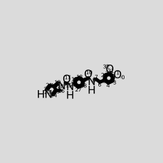 COc1ccc(CCNC(=O)c2ccc(NC(=O)N3C=C4C=CNC=C4C3)cc2)cc1OC